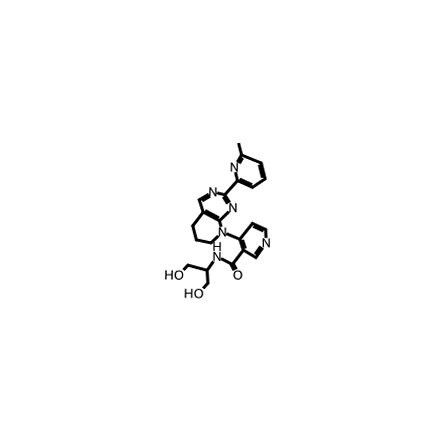 Cc1cccc(-c2ncc3c(n2)N(c2ccncc2C(=O)NC(CO)CO)CCC3)n1